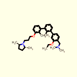 CCOc1cc(-c2cccc(-c3cccc(OCCCN4[C@H](C)CC[C@H]4C)c3C)c2C)ccc1CN(C)C